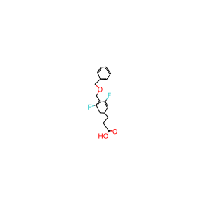 O=C(O)CCc1cc(F)c(COCc2ccccc2)c(F)c1